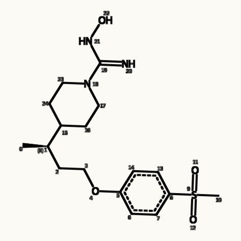 C[C@H](CCOc1ccc(S(C)(=O)=O)cc1)C1CCN(C(=N)NO)CC1